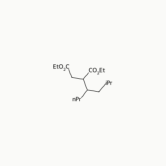 CCCC(CC(C)C)C(CC(=O)OCC)C(=O)OCC